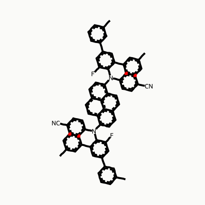 Cc1cccc(-c2cc(F)c(N(c3ccc(C#N)cc3)c3ccc4ccc5c(N(c6ccc(C#N)cc6)c6c(F)cc(-c7cccc(C)c7)cc6-c6cccc(C)c6)ccc6ccc3c4c65)c(-c3cccc(C)c3)c2)c1